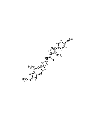 COc1nc(OC2CC3(CC(NC(=O)c4cnn(-c5ccc(C#N)cc5)c4C)C3)C2)c(C(N)=O)s1